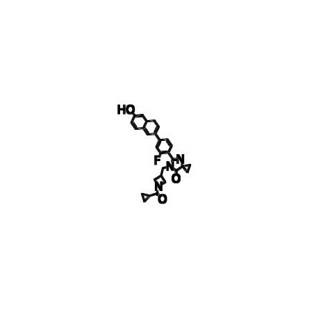 O=C(C1CC1)N1CC(CN2C(=O)C3(CC3)N=C2c2ccc(C3=CCC4C=C(O)C=CC4=C3)cc2F)C1